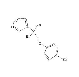 CCC(C#N)(COc1ccc(Cl)cc1)c1cccnc1